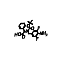 CC(C)(C)OC(=O)N(Cc1cc(F)c(N)c(F)c1)[C@@H](C(=O)O)c1ccccc1